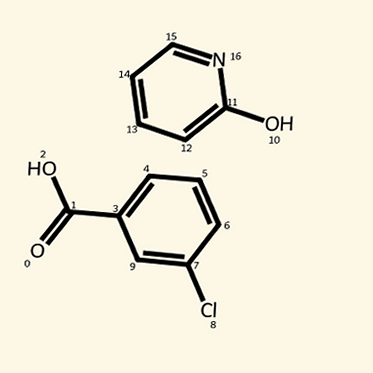 O=C(O)c1cccc(Cl)c1.Oc1ccccn1